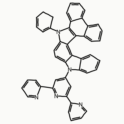 C1=CCCC(n2c3ccc4c(c5ccccc5n4-c4cc(-c5ccccn5)nc(-c5ccccn5)c4)c3c3c4ccccc4c4ccccc4c32)=C1